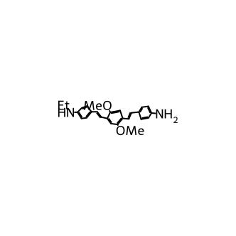 CCNc1ccc(/C=C/c2cc(OC)c(/C=C/c3ccc(N)cc3)cc2OC)cc1